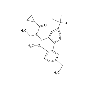 CCc1ccc(OC)c(-c2ccc(C(F)(F)F)cc2CN(CC)C(=O)C2CC2)c1